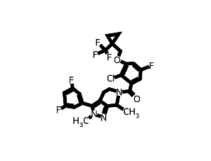 CC1c2nn(C)c(-c3cc(F)cc(F)c3)c2CCN1C(=O)c1cc(F)cc(OCC2(C(F)(F)F)CC2)c1Cl